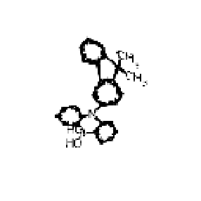 CC1(C)c2ccccc2-c2cc(N(c3ccccc3)c3ccccc3B(O)O)ccc21